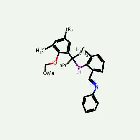 CCCC(C)(Pc1c(C)cccc1/C=N/c1ccccc1)c1cc(C(C)(C)C)cc(C)c1OCOC